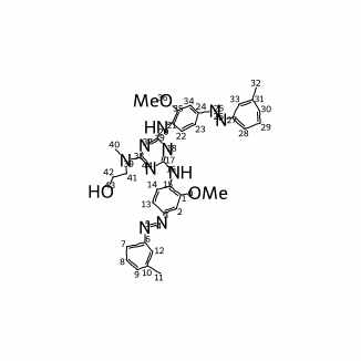 COc1cc(N=Nc2cccc(C)c2)ccc1Nc1nc(Nc2ccc(N=Nc3cccc(C)c3)cc2OC)nc(N(C)CCO)n1